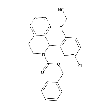 N#CCOc1ccc(Cl)cc1C1c2ccccc2CCN1C(=O)OCc1ccccc1